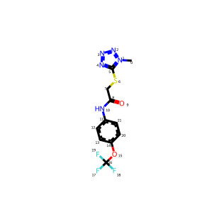 Cn1nnnc1SCC(=O)Nc1ccc(OC(F)(F)F)cc1